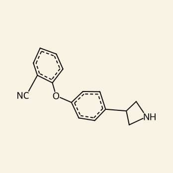 N#Cc1ccccc1Oc1ccc(C2CNC2)cc1